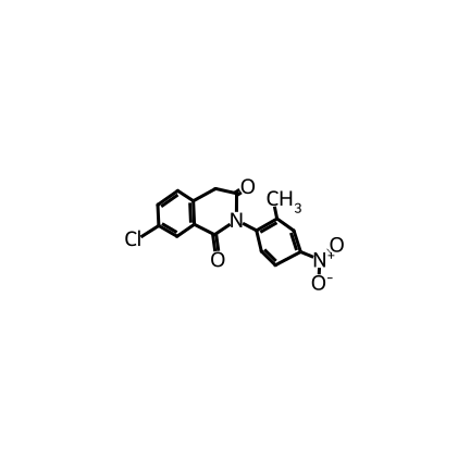 Cc1cc([N+](=O)[O-])ccc1N1C(=O)Cc2ccc(Cl)cc2C1=O